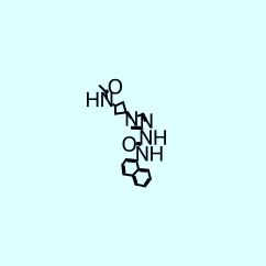 CC(=O)NC1CC(n2cnc(NC(=O)Nc3cccc4ccccc34)c2)C1